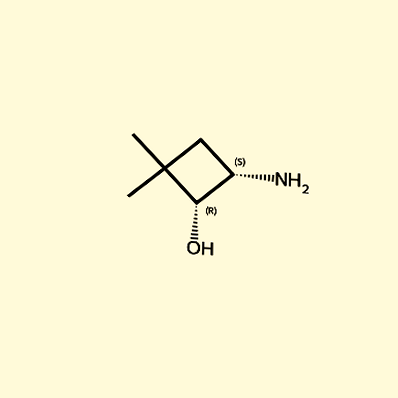 CC1(C)C[C@H](N)[C@@H]1O